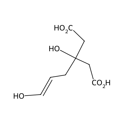 O=C(O)CC(O)(CC=CO)CC(=O)O